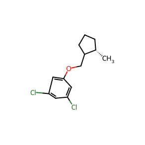 C[C@H]1CCCC1COc1cc(Cl)cc(Cl)c1